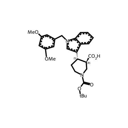 COc1cc(Cn2cc([C@H]3CCN(C(=O)OC(C)(C)C)C[C@@H]3C(=O)O)c3ccccc32)cc(OC)c1